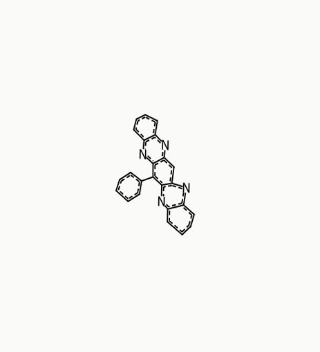 c1ccc(-c2c3nc4ccccc4nc3cc3nc4ccccc4nc23)cc1